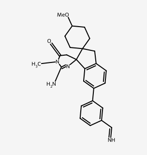 COC1CCC2(CC1)Cc1ccc(-c3cccc(C=N)c3)cc1C21CC(=O)N(C)C(N)=N1